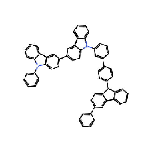 c1ccc(-c2ccc3c(c2)-c2ccccc2C3c2ccc(-c3cccc(-n4c5ccccc5c5cc(-c6ccc7c(c6)c6ccccc6n7-c6ccccc6)ccc54)c3)cc2)cc1